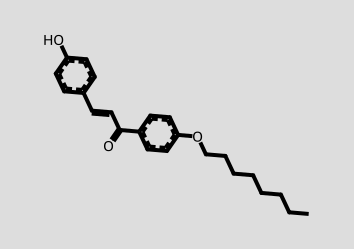 CCCCCCCCOc1ccc(C(=O)/C=C/c2ccc(O)cc2)cc1